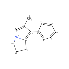 FC(F)(F)c1cn2c(c1-c1ccccc1)CCC2